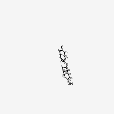 CC1=CC2C3CC(SC4CC5CC4C4CC(S)CC54)C(C3)C2C1